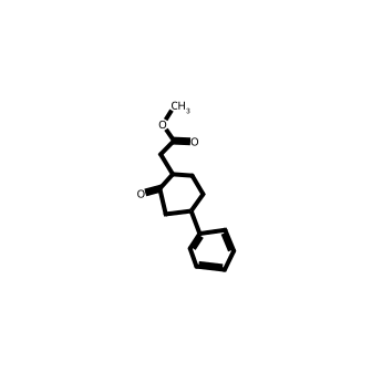 COC(=O)CC1CCC(c2ccccc2)CC1=O